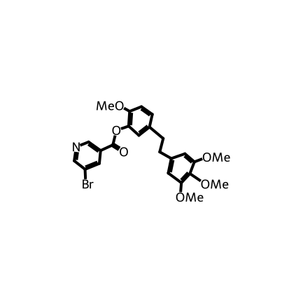 COc1ccc(CCc2cc(OC)c(OC)c(OC)c2)cc1OC(=O)c1cncc(Br)c1